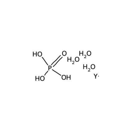 O.O.O.O=P(O)(O)O.[Y]